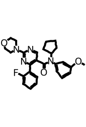 COc1cccc(N(C(=O)c2cnc(N3CCOCC3)nc2-c2ccccc2F)C2CCCC2)c1